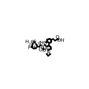 C[C@H]1C(C2C=CC(F)=C[PH](C)(F)C2)OC(=O)N1Cc1nc(N2CCC2)ccc1-c1cc(CCC(=O)O)ccc1O